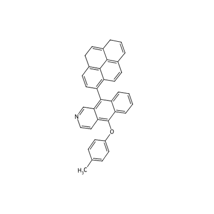 Cc1ccc(Oc2c3ccccc3c(-c3ccc4c5c6c(ccc35)C=CCC6=CC4)c3cnccc23)cc1